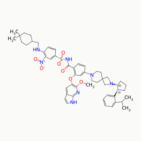 COc1nc2[nH]ccc2cc1Oc1cc(N2CCC3(CC2)CN([C@H]2CCC[C@H]2c2ccccc2C(C)C)C3)ccc1C(=O)NS(=O)(=O)c1ccc(NCC2CCC(C)(C)CC2)c([N+](=O)[O-])c1